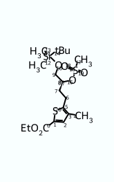 CCOC(=O)c1cc(C)c(CC[C@@H](CO[Si](C)(C)C(C)(C)C)OS(C)(=O)=O)s1